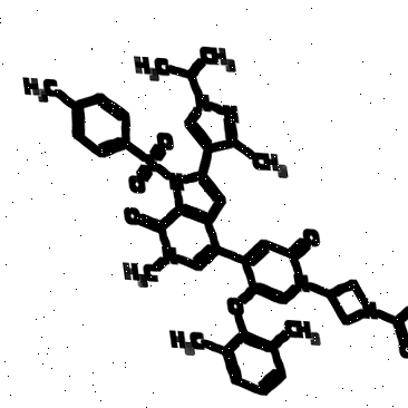 Cc1ccc(S(=O)(=O)n2c(-c3cn(C(C)C)nc3C)cc3c(-c4cc(=O)n(C5CN(C(=O)O)C5)cc4Oc4c(C)cccc4C)cn(C)c(=O)c32)cc1